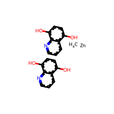 C.Oc1ccc(O)c2ncccc12.Oc1ccc(O)c2ncccc12.[Zn]